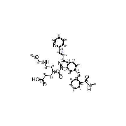 CNC(=O)c1ccccc1Sc1ccc2c(/C=C/c3ccccn3)nn(C(=O)N(CCNCOC)CCC(=O)O)c2c1